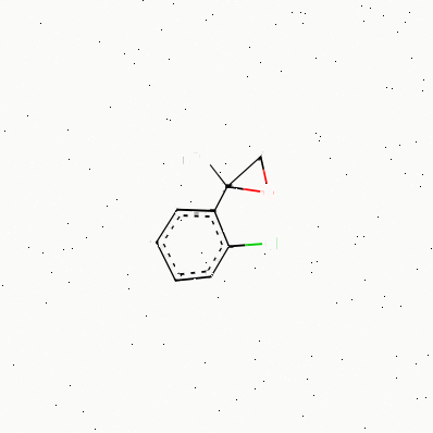 CCCC1(c2ccccc2Cl)CO1